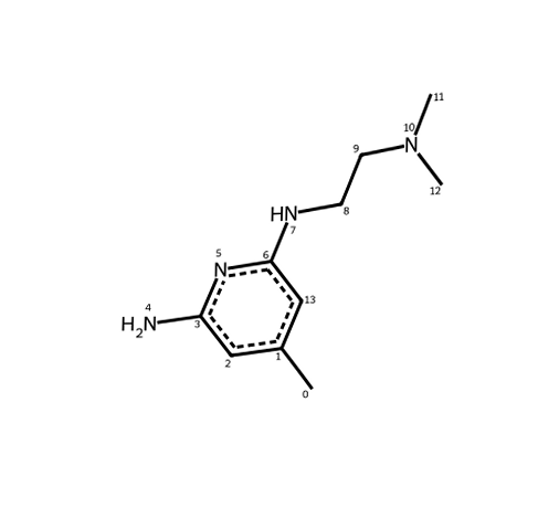 Cc1cc(N)nc(NCCN(C)C)c1